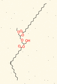 CCCCCCCC/C=C\CCCCCCCC(=O)OC(CO)COCC(COCC)OC(=O)CCCCCCCCCCCCCCCCC